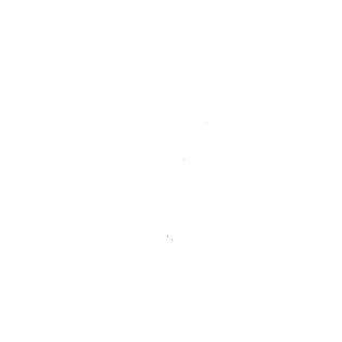 C#C/C=C(Cl)\C=C/CN(C(=C/CN(c1ccccc1)c1cc(F)ccc1Br)/C(Br)=C\C#C)c1ccccc1